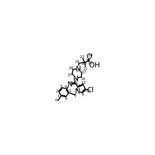 Cc1ccc2c(c1)Cn1cc(Cl)cc1C(N1CCN(CC(C)(C)C(=O)O)CC1)=N2